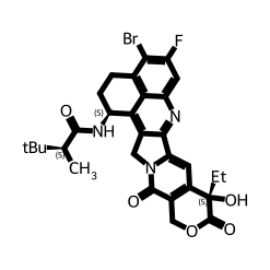 CC[C@@]1(O)C(=O)OCc2c1cc1n(c2=O)Cc2c-1nc1cc(F)c(Br)c3c1c2[C@@H](NC(=O)[C@@H](C)C(C)(C)C)CC3